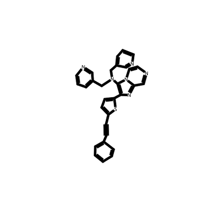 C(#Cc1ccc(-c2nc3cnccn3c2N(Cc2cccnc2)Cc2cccnc2)s1)c1ccccc1